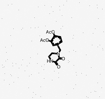 CC(=O)Oc1ccc(CN2CCNC(=O)C2=O)cc1OC(C)=O